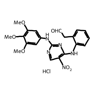 COc1cc(Nc2ncc([N+](=O)[O-])c(Nc3ccccc3CC=O)n2)cc(OC)c1OC.Cl